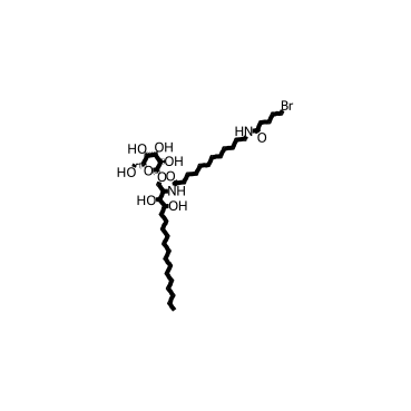 CCCCCCCCCCCCCCC(O)C(O)C(CO[C@H]1O[C@H](CO)[C@H](O)[C@H](O)[C@H]1O)NC(=O)CCCCCCCCCCCNC(=O)CCCCBr